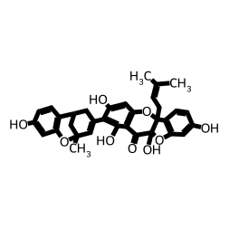 CC(C)=CCC12Oc3cc(O)c(C4=CC5(C)CC(C4)c4ccc(O)cc4O5)c(O)c3C(=O)C1(O)Oc1cc(O)ccc12